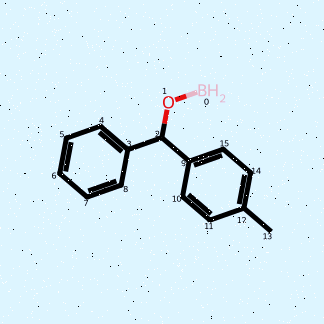 BOC(c1ccccc1)c1ccc(C)cc1